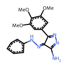 COc1cc(C2=NN=C(N)/C2=N/Nc2ccccc2)cc(OC)c1OC